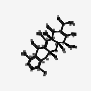 CC(=O)N[C@@H]1C(O)=C(C(N)=O)C(=O)[C@@]2(O)C(O)=C3C(=O)c4c(O)ccc(Cl)c4C[C@H]3C[C@@H]12